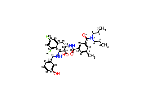 CCCN(CCC)C(=O)c1cc(C)cc(C(=O)N[C@@H](Cc2cc(F)cc(F)c2)[C@H](O)CNCc2cccc(O)c2)c1